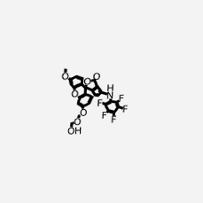 COc1ccc2c(c1)Oc1cc(OCOCO)ccc1C21OC(=O)c2cc(Nc3c(F)c(F)c(F)c(F)c3F)ccc21